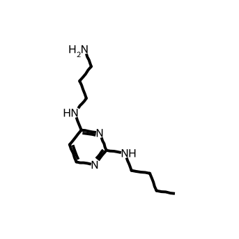 CCCCNc1nccc(NCCCN)n1